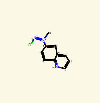 C/[N+](=N/Cl)c1ccc2ncccc2c1